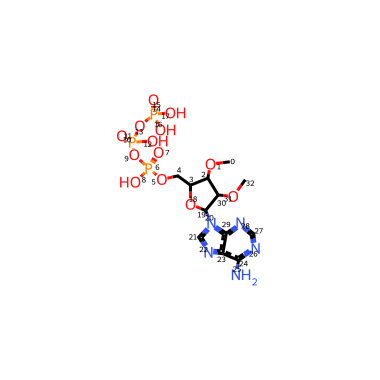 COC1C(COP(=O)(O)OP(=O)(O)OP(=O)(O)O)OC(n2cnc3c(N)ncnc32)C1OC